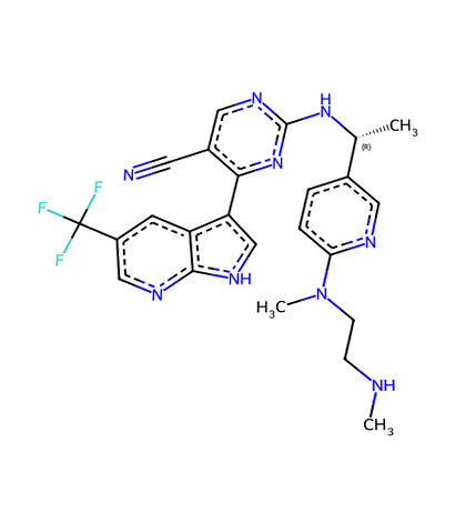 CNCCN(C)c1ccc([C@@H](C)Nc2ncc(C#N)c(-c3c[nH]c4ncc(C(F)(F)F)cc34)n2)cn1